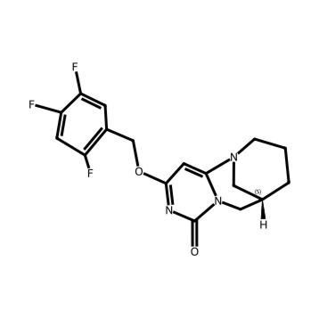 O=c1nc(OCc2cc(F)c(F)cc2F)cc2n1C[C@H]1CCCN2C1